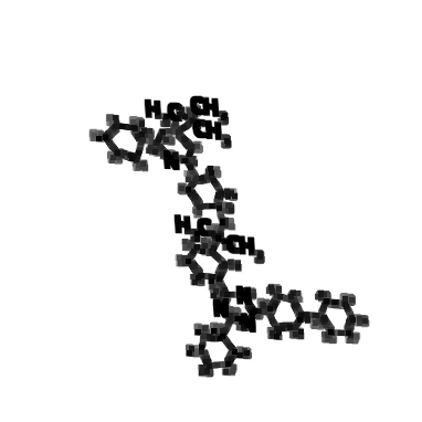 CC(C)(C)C1=CC(c2ccc(CC(C)(C)c3cccc(-c4nc(-c5ccccc5)nc(-c5ccc(-c6ccccc6)cc5)n4)c3)cc2)=NC(c2ccccc2)C1